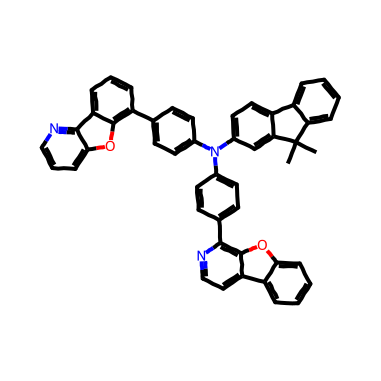 CC1(C)c2ccccc2-c2ccc(N(c3ccc(-c4nccc5c4oc4ccccc45)cc3)c3ccc(-c4cccc5c4oc4cccnc45)cc3)cc21